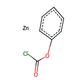 O=C(Cl)Oc1ccccc1.[Zn]